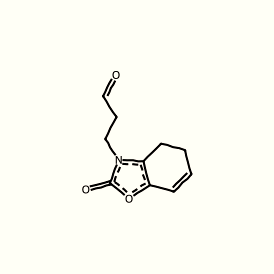 O=CCCn1c2c(oc1=O)C=CCC2